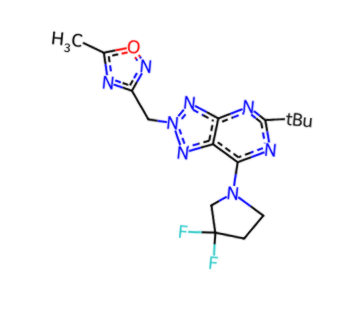 Cc1nc(Cn2nc3nc(C(C)(C)C)nc(N4CCC(F)(F)C4)c3n2)no1